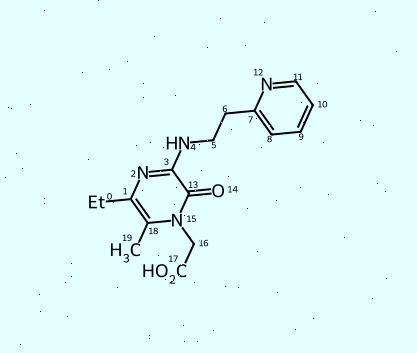 CCc1nc(NCCc2ccccn2)c(=O)n(CC(=O)O)c1C